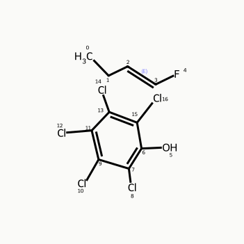 CC/C=C/F.Oc1c(Cl)c(Cl)c(Cl)c(Cl)c1Cl